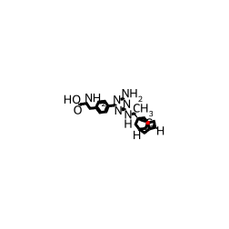 CC(Nc1nc(N)nc(-c2ccc(C[C@H](N)C(=O)O)cc2)n1)[C@@]12C[C@@H]3CC4[C@@H](CC4(C3)C1)C2